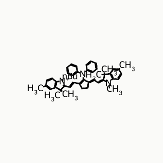 CCCC[N+]1=C(/C=C/C2=C(N(c3ccccc3)c3ccccc3)C(=C/C=C3/N(C)c4ccc(C)cc4C3(C)C)/CC2)C(C)(C)c2cc(C)ccc21